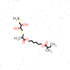 CCC(C)C(=O)OCCCCCCOC(=O)C(C)CSCC(O)C(O)CSC